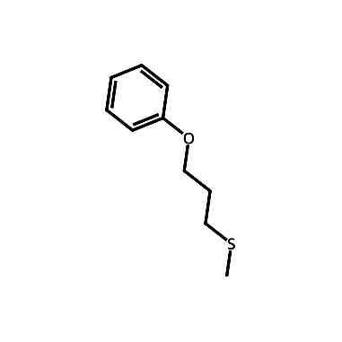 CSCCCOc1ccccc1